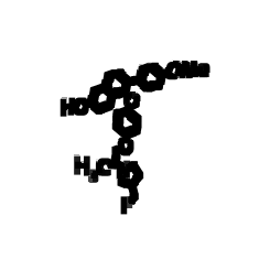 COc1ccc(-c2ccc3cc(O)ccc3c2Oc2ccc(OCC(C)N3CCC(CF)C3)cc2)cc1